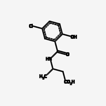 CC(CC(=O)O)NC(=O)c1cc(Cl)ccc1O